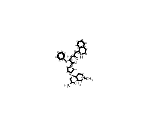 CC(C)CN(C1CCN(C)CC1)[C@@H]1CCN(C(=O)[C@@H](Cc2ccccc2)NC(=O)CC2NCCc3ccccc32)C1